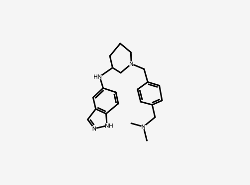 CN(C)Cc1ccc(CN2CCCC(Nc3ccc4[nH]ncc4c3)C2)cc1